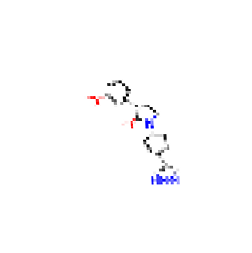 COc1cccc(C2CCN(c3ccc(-c4cn[nH]c4)cc3)C2=O)c1